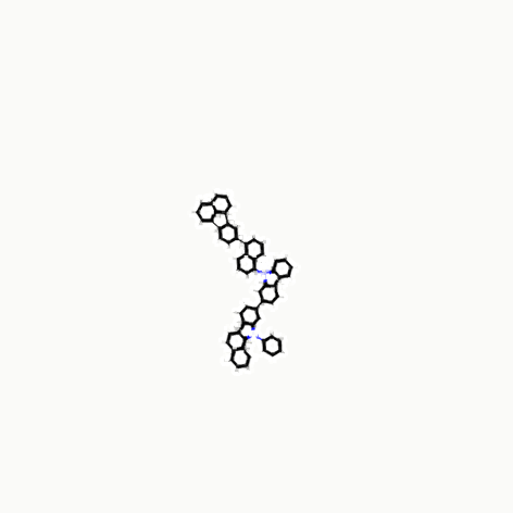 c1ccc(-n2c3cc(-c4ccc5c6ccccc6n(-c6cccc7c(-c8ccc9c(c8)-c8cccc%10cccc-9c8%10)cccc67)c5c4)ccc3c3ccc4ccccc4c32)cc1